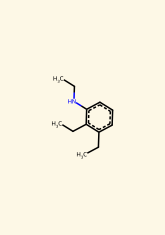 CCNc1cccc(CC)c1CC